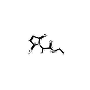 CCNC(=O)C(C)N1C(=O)C=CC1=O